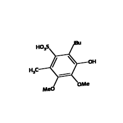 CCC(C)c1c(O)c(OC)c(OC)c(C)c1S(=O)(=O)O